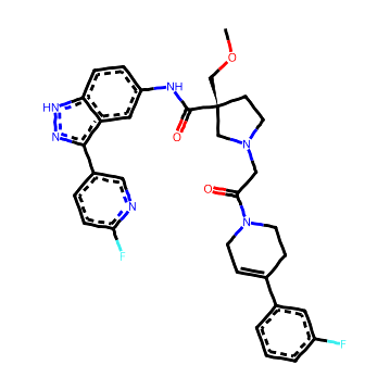 COC[C@@]1(C(=O)Nc2ccc3[nH]nc(-c4ccc(F)nc4)c3c2)CCN(CC(=O)N2CC=C(c3cccc(F)c3)CC2)C1